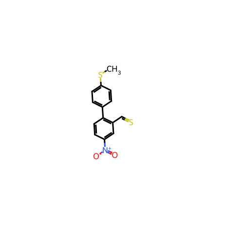 CSc1ccc(-c2ccc([N+](=O)[O-])cc2C=S)cc1